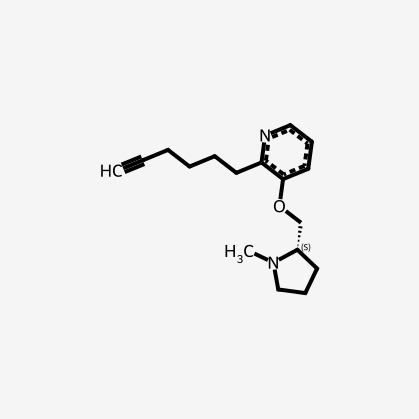 C#CCCCCc1ncccc1OC[C@@H]1CCCN1C